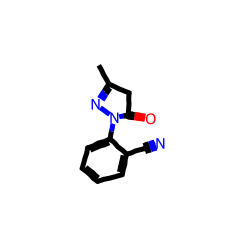 CC1=NN(c2ccccc2C#N)C(=O)C1